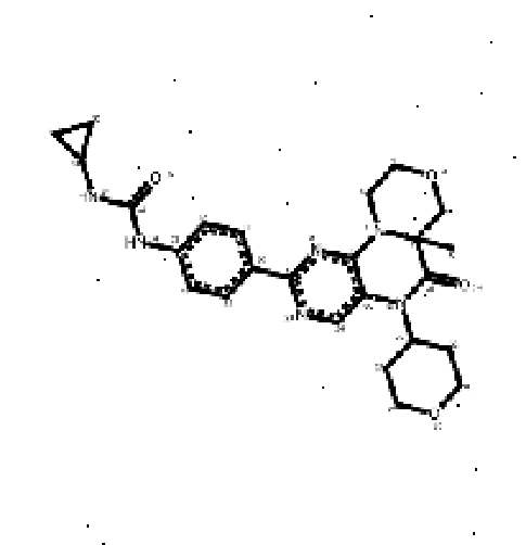 CC12COCCN1c1nc(-c3ccc(NC(=O)NC4CC4)cc3)ncc1N(C1CCOCC1)C2=O